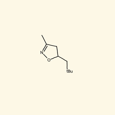 CC1=NOC(CC(C)(C)C)C1